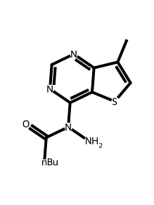 CCCCC(=O)N(N)c1ncnc2c(C)csc12